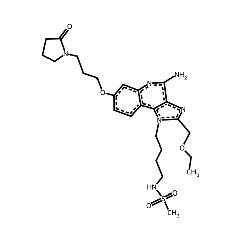 CCOCc1nc2c(N)nc3cc(OCCCN4CCCC4=O)ccc3c2n1CCCCNS(C)(=O)=O